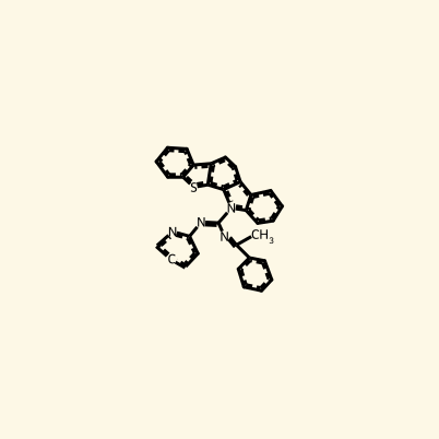 C/C(=N\C(=N/c1ccccn1)n1c2ccccc2c2ccc3c4ccccc4sc3c21)c1ccccc1